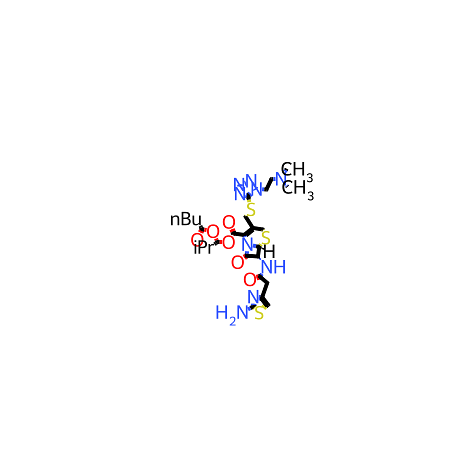 CCCCC(=O)OC(OC(=O)C1=C(CSc2nnnn2CCN(C)C)CS[C@H]2[C@H](NC(=O)Cc3csc(N)n3)C(=O)N12)C(C)C